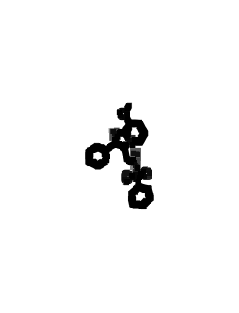 COc1cccn2c(CNS(=O)(=O)c3ccccc3)c(-c3ccccc3)nc12